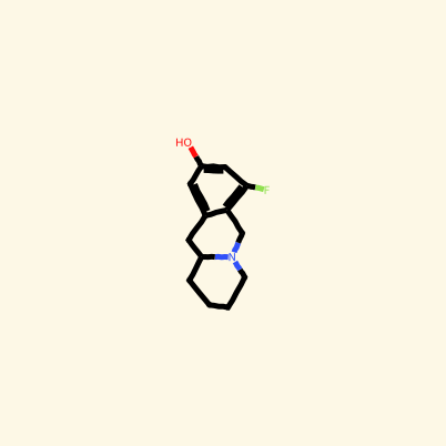 Oc1cc(F)c2c(c1)CC1CCCCN1C2